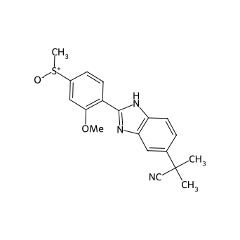 COc1cc([S+](C)[O-])ccc1-c1nc2cc(C(C)(C)C#N)ccc2[nH]1